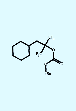 CC(C)(C)OC(=O)OC(CC1CCCCC1)(C(F)(F)F)C(F)(F)F